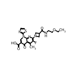 CCOCCNC(=O)C1CN(c2nc3c(c(C)c2F)c(=O)c(C(=O)O)cn3-c2nccs2)C1